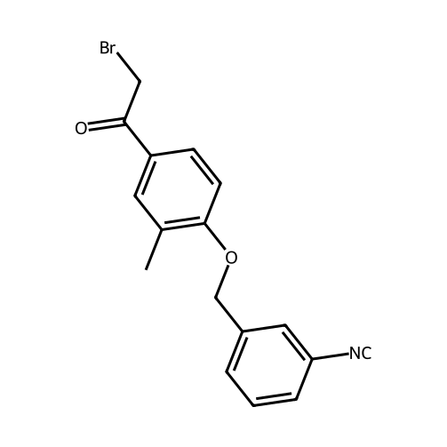 [C-]#[N+]c1cccc(COc2ccc(C(=O)CBr)cc2C)c1